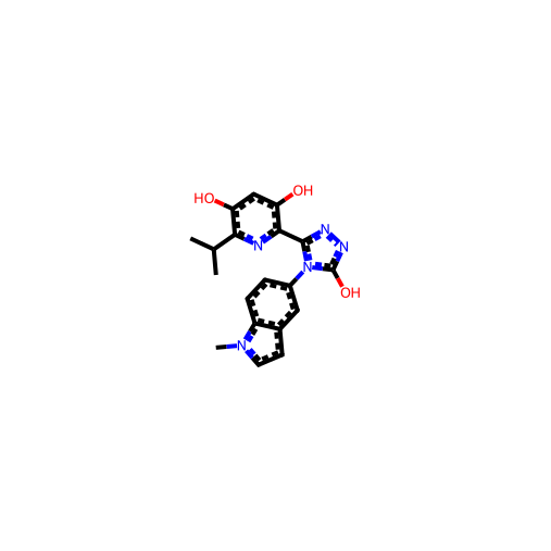 CC(C)c1nc(-c2nnc(O)n2-c2ccc3c(ccn3C)c2)c(O)cc1O